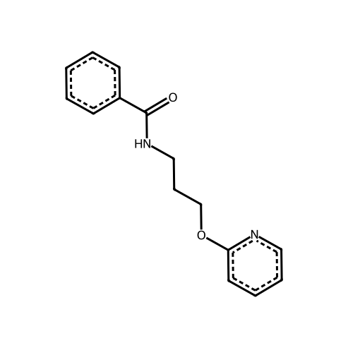 O=C(NCCCOc1ccccn1)c1ccccc1